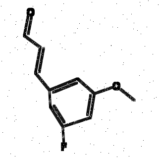 COc1cc(F)cc(C=CC=O)c1